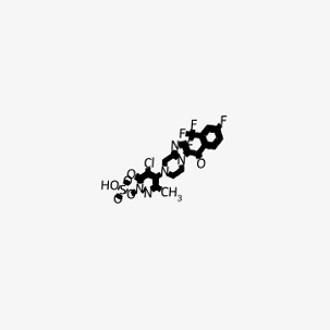 Cc1nn(OS(=O)(=O)O)c(=O)c(Cl)c1N1CCn2c(C(=O)c3ccc(F)cc3C(F)(F)F)cnc2C1